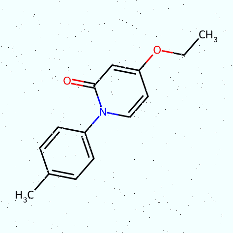 CCOc1ccn(-c2ccc(C)cc2)c(=O)c1